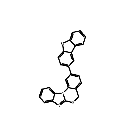 c1ccc2c(c1)nc1n2-c2cc(-c3ccc4oc5ccccc5c4c3)ccc2CS1